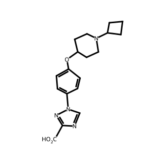 O=C(O)c1ncn(-c2ccc(OC3CCN(C4CCC4)CC3)cc2)n1